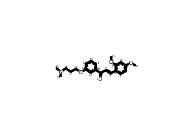 COc1ccc(/C=C/C(=O)c2cccc(OCCCN(C)C)c2)c(OC)c1